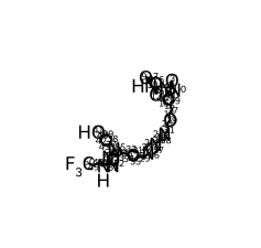 Cn1c(=O)n([C@H]2CCC(=O)NC2=O)c2ccc(CCOCCN3CC(N4CCN(Cc5ccc(-c6cn([C@H]7CC[C@H](O)CC7)c7nc(NCCC(F)(F)F)ncc67)cc5)CC4)C3)cc21